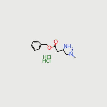 CN(C)C[C@H](N)CC(=O)OCc1ccccc1.Cl.Cl